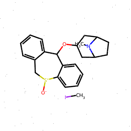 CI.CN1C2CCC1CC(OC1c3ccccc3C[S+]([O-])c3ccccc31)C2